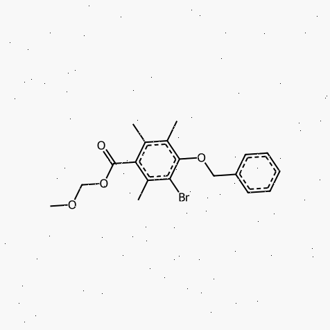 COCOC(=O)c1c(C)c(C)c(OCc2ccccc2)c(Br)c1C